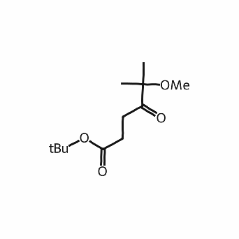 COC(C)(C)C(=O)CCC(=O)OC(C)(C)C